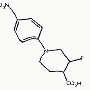 O=C(O)C1CCN(c2ccc([N+](=O)[O-])cc2)CC1F